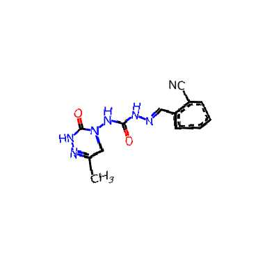 CC1=NNC(=O)N(NC(=O)N/N=C/c2ccccc2C#N)C1